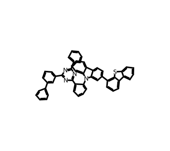 c1ccc(-c2cccc(-c3nc(-c4ccccc4)nc(-c4ccccc4-n4c5ccccc5c5ccc(-c6cccc7c6sc6ccccc67)cc54)n3)c2)cc1